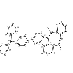 Cc1nc2ccccc2n(C)n2c3ccc(-c4ccc5c(c4)c4ccccc4n5-c4ccccc4)cc3c3cccc1c32